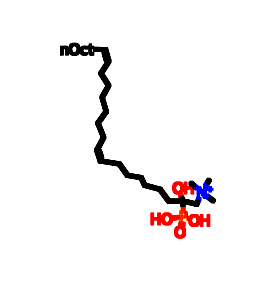 CCCCCCCC/C=C\CCCCCC/C=C\CCCCCCC(O)(C[N+](C)(C)C)P(=O)(O)O